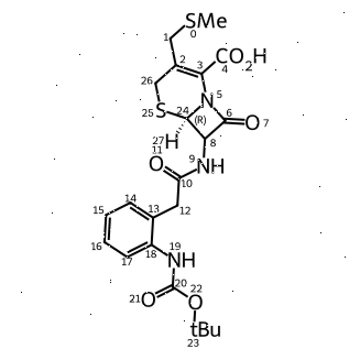 CSCC1=C(C(=O)O)N2C(=O)C(NC(=O)Cc3ccccc3NC(=O)OC(C)(C)C)[C@H]2SC1